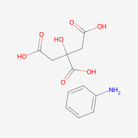 Nc1ccccc1.O=C(O)CC(O)(CC(=O)O)C(=O)O